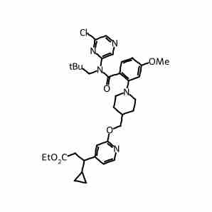 CCOC(=O)CC(c1ccnc(OCC2CCN(c3cc(OC)ccc3C(=O)N(CC(C)(C)C)c3cncc(Cl)n3)CC2)c1)C1CC1